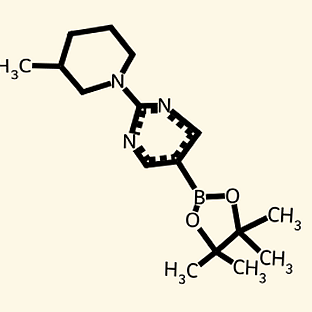 CC1CCCN(c2ncc(B3OC(C)(C)C(C)(C)O3)cn2)C1